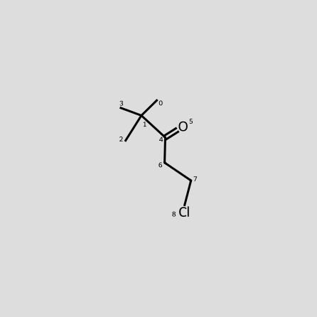 CC(C)(C)C(=O)CCCl